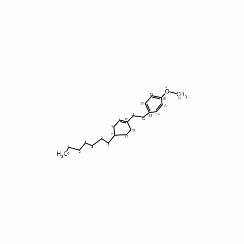 CCCCCCCC1CC=C(CCc2ccc(OC)cc2)CC1